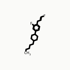 CCCCCC1CCC(c2ccc(C/C=C/F)c(F)c2)CC1